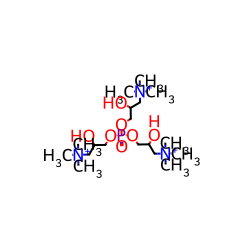 C[N+](C)(C)CC(O)COP(=O)(OCC(O)C[N+](C)(C)C)OCC(O)C[N+](C)(C)C